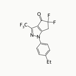 CCc1ccc(-n2nc(C(F)(F)F)c3c2CC(F)(F)C3=O)cc1